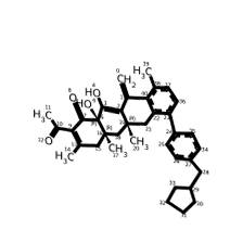 C=C1C2=C(O)[C@@]3(O)C(=O)C(C(C)=O)=C(C)C[C@@]3(C)C[C@@]2(C)Cc2c(-c3ccc(CC4CCCC4)cc3)ccc(C)c21